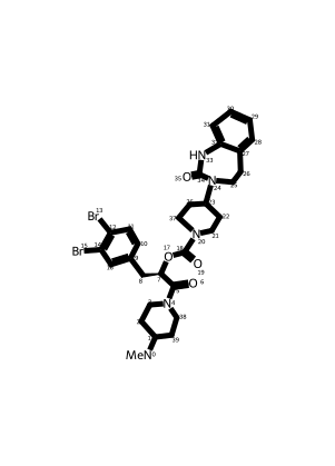 CNC1CCN(C(=O)[C@@H](Cc2ccc(Br)c(Br)c2)OC(=O)N2CCC(N3CCc4ccccc4NC3=O)CC2)CC1